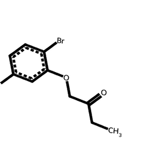 Bc1ccc(Br)c(OCC(=O)CC)c1